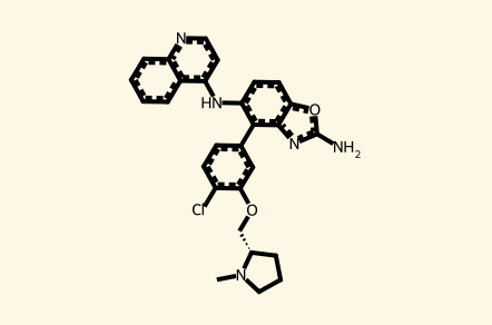 CN1CCC[C@H]1COc1cc(-c2c(Nc3ccnc4ccccc34)ccc3oc(N)nc23)ccc1Cl